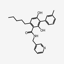 CCCCCc1cc(O)c(-c2cccc(C)c2)c(O)c1C(=O)NCc1cccnc1